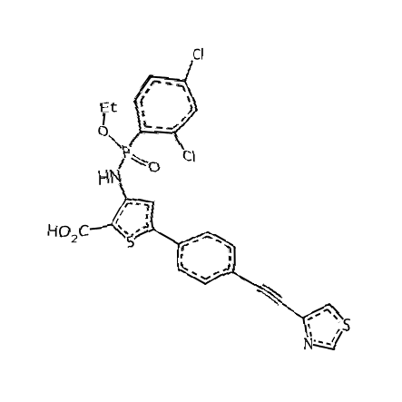 CCOP(=O)(Nc1cc(-c2ccc(C#Cc3cscn3)cc2)sc1C(=O)O)c1ccc(Cl)cc1Cl